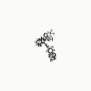 CC(C)(C)CC(=O)Nc1nn2cccnc2c1C#Cc1ccc(OC(F)(F)F)cc1